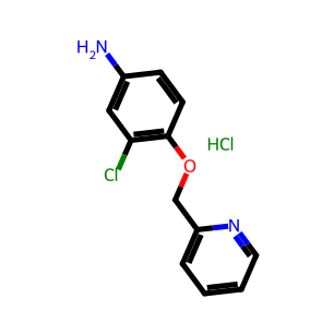 Cl.Nc1ccc(OCc2ccccn2)c(Cl)c1